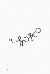 C=CC(=O)Nc1ccc(S(=O)(=O)N2CCc3ccccc3C2)cc1